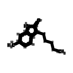 CCCCCn1c(=O)[nH]c2cc(C)ccc21